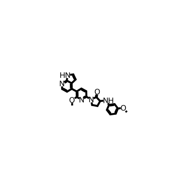 COc1cccc(NC2CCN(c3ccc(-c4ccnc5[nH]ccc45)c(OC)n3)C2=O)c1